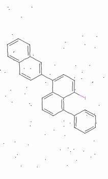 Ic1ccc(-c2ccc3ccccc3c2)c2cccc(-c3ccccc3)c12